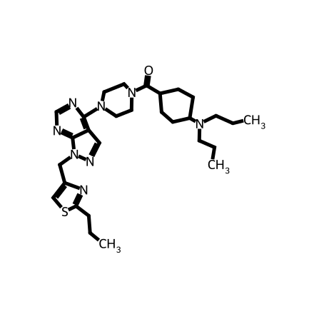 CCCc1nc(Cn2ncc3c(N4CCN(C(=O)C5CCC(N(CCC)CCC)CC5)CC4)ncnc32)cs1